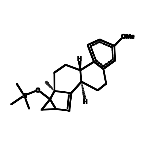 COc1ccc2c(c1)CC[C@H]1C3=CC4CC4(O[Si](C)(C)C)[C@@]3(C)CC[C@H]21